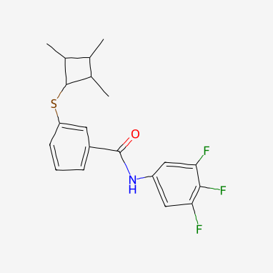 CC1C(C)C(Sc2cccc(C(=O)Nc3cc(F)c(F)c(F)c3)c2)C1C